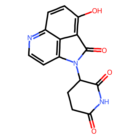 O=C1CCC(N2C(=O)c3c(O)ccc4nccc2c34)C(=O)N1